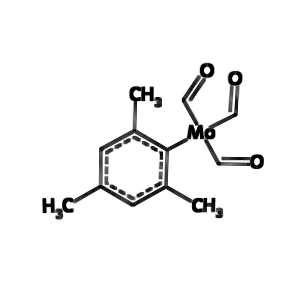 Cc1cc(C)[c]([Mo]([CH]=O)([CH]=O)[CH]=O)c(C)c1